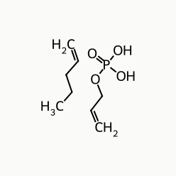 C=CCCC.C=CCOP(=O)(O)O